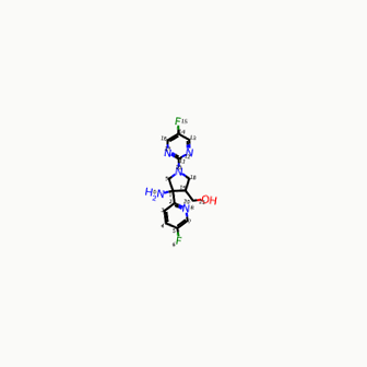 NC1(c2ccc(F)cn2)CN(c2ncc(F)cn2)CC1CO